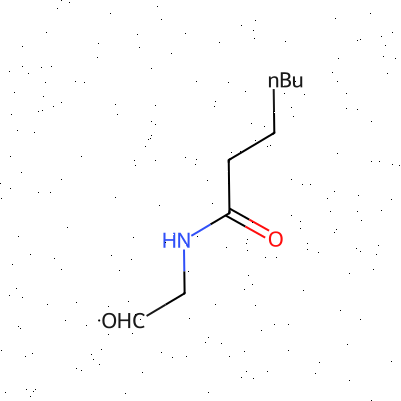 CCCCCCC(=O)NC[C]=O